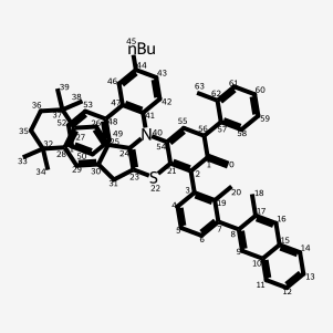 C=C1C(c2cccc(-c3cc4ccccc4cc3C)c2C)=C2SC3=C(c4cc5c(cc4C3)C(C)(C)CCC5(C)C)N(c3ccc(CCCC)cc3-c3ccccc3)C2=CC1c1ccccc1C